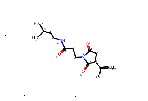 C=C(C)C1CC(=O)N(CCC(=O)NCCC(C)C)C1=O